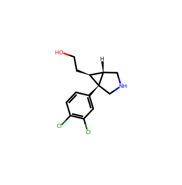 OCC[C@H]1[C@@H]2CNC[C@]12c1ccc(Cl)c(Cl)c1